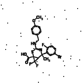 COc1ccc(CNC2=NC(C)(c3cc(Br)ccc3F)C3C(F)(F)C3(C(=O)O)S2)cc1